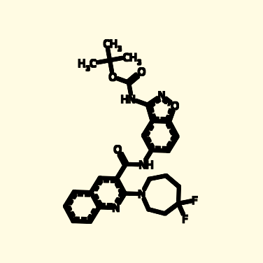 CC(C)(C)OC(=O)Nc1noc2ccc(NC(=O)c3cc4ccccc4nc3N3CCCC(F)(F)CC3)cc12